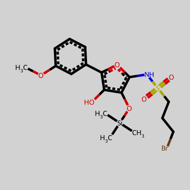 COc1cccc(-c2oc(NS(=O)(=O)CCCBr)c(O[Si](C)(C)C)c2O)c1